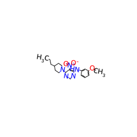 CCCC1CCN(c2ncnc(Nc3cccc(OC)c3)c2[N+](=O)[O-])CC1